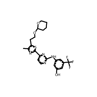 Cc1nc(-c2ccnc(Nc3cc(O)cc(C(F)(F)F)c3)n2)sc1CCOC1CCCCO1